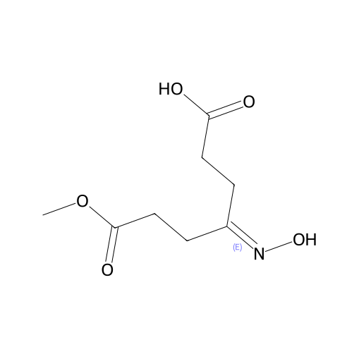 COC(=O)CC/C(CCC(=O)O)=N/O